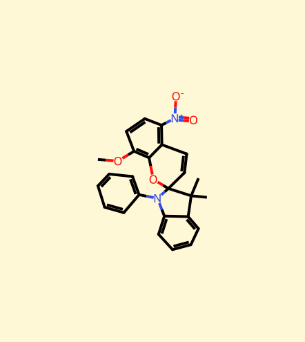 COc1ccc([N+](=O)[O-])c2c1OC1(C=C2)N(c2ccccc2)c2ccccc2C1(C)C